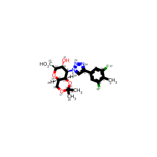 Cc1c(F)cc(-c2cn([C@@H]3[C@@H](O)[C@H](C(=O)O)O[C@@H]4COC(C)(C)O[C@H]34)nn2)cc1F